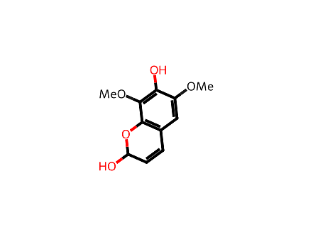 COc1cc2c(c(OC)c1O)OC(O)C=C2